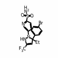 CCC1(c2ccc(Br)cc2)C=C(C(F)(F)F)NN1c1ccc(S(N)(=O)=O)nc1